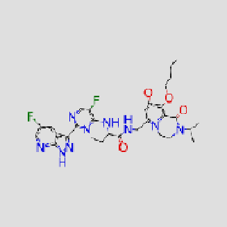 CCCCOc1c2n(c(CNC(=O)C(CC)Nc3nc(-c4n[nH]c5ncc(F)cc45)ncc3F)cc1=O)CCN(C(C)C)C2=O